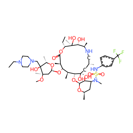 CC[C@H]1OC(=O)[C@H](C)[C@@H](O[C@H]2C[C@@](C)(OC)[C@](O)(CN3CCN(CC)CC3)[C@H](C)O2)[C@H](C)[C@@H](O[C@@H]2O[C@H](C)C[C@H](N(C)S(=O)(=O)Nc3ccc(C(F)(F)F)cc3)[C@H]2O)[C@](C)(O)C[C@@H](C)CN[C@H](C)[C@@H](O)[C@]1(C)O